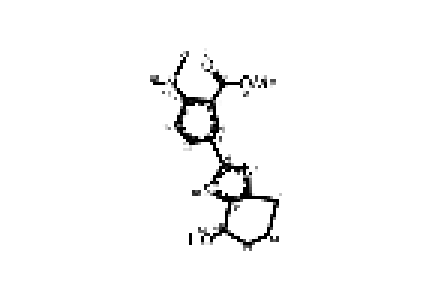 COC(=O)c1cc(-c2nc3c(s2)C(O)CCC3)ccc1N(C)C